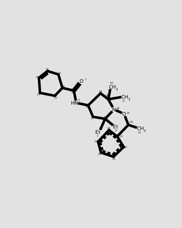 CCC1(CC)CC(NC(=O)C2CC=CCC2)CC(C)(C)N1OC(C)c1ccccc1